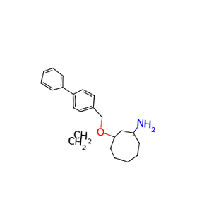 N[C]1CCCCCC(OCc2ccc(-c3ccccc3)cc2)C1.[CH2].[CH2]